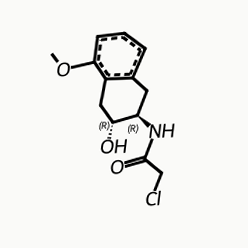 COc1cccc2c1C[C@@H](O)[C@H](NC(=O)CCl)C2